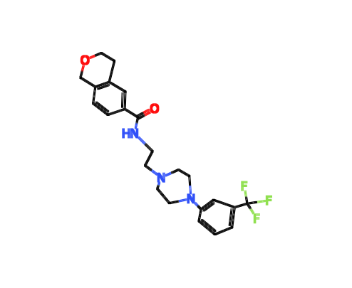 O=C(NCCN1CCN(c2cccc(C(F)(F)F)c2)CC1)c1ccc2c(c1)CCOC2